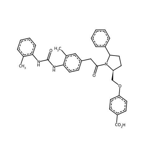 Cc1ccccc1NC(=O)Nc1ccc(CC(=O)N2C(c3ccccc3)CC[C@H]2COc2ccc(C(=O)O)cc2)cc1C